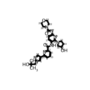 CC(C)(O)Cn1cc(-c2cccc(C(=O)Nc3cc4oc(N5CCOCC5)nc4nc3N3CC[C@@H](O)C3)n2)cn1